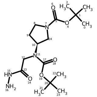 CC(C)(C)OC(=O)N1CC[C@H](N(CC(=O)NN)C(=O)OC(C)(C)C)C1